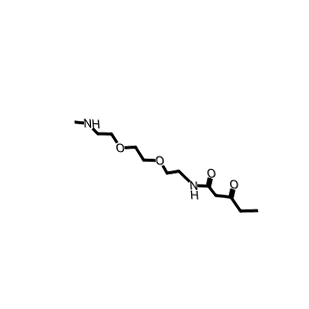 CCC(=O)CC(=O)NCCOCCOCCNC